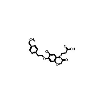 CCc1ccc(CCOc2cc3c(cc2Cl)N(CCC(=O)O)C(=O)CO3)nc1